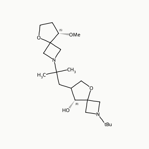 CO[C@H]1CCOC12CN(C(C)(C)CC1COC3(CN(C(C)(C)C)C3)[C@@H]1O)C2